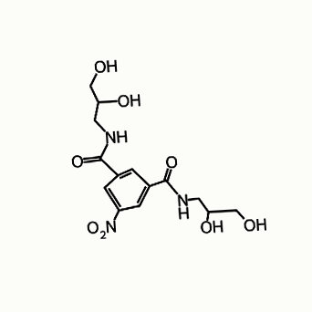 O=C(NCC(O)CO)c1cc(C(=O)NCC(O)CO)cc([N+](=O)[O-])c1